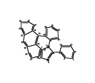 c1ccc(-c2nccn2-c2ccccc2-c2c3ccccc3cc3ccccc23)cc1